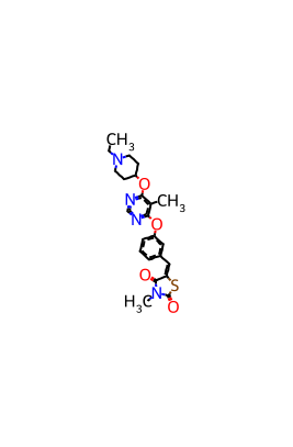 CCN1CCC(Oc2ncnc(Oc3cccc(C=C4SC(=O)N(C)C4=O)c3)c2C)CC1